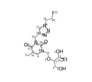 CC[C@H](O)C(CO)OCn1cc(C)c(=O)n(Cc2cn(CCF)nn2)c1=O